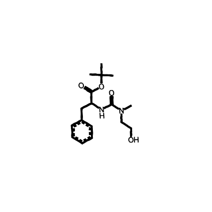 CN(CCO)C(=O)NC(Cc1ccccc1)C(=O)OC(C)(C)C